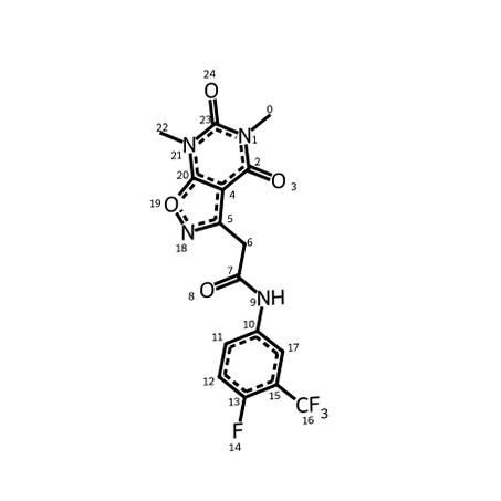 Cn1c(=O)c2c(CC(=O)Nc3ccc(F)c(C(F)(F)F)c3)noc2n(C)c1=O